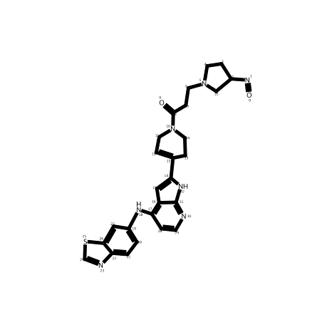 O=NC1CCN(CCC(=O)N2CC=C(c3cc4c(Nc5ccc6ncsc6c5)ccnc4[nH]3)CC2)C1